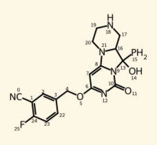 N#Cc1cc(COc2cc3n(c(=O)n2)C(O)(P)C2CNCCN32)ccc1F